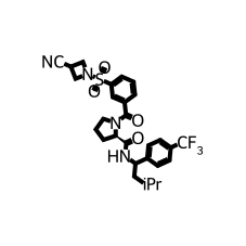 CC(C)CC(NC(=O)[C@H]1CCCN1C(=O)c1cccc(S(=O)(=O)N2CC(C#N)C2)c1)c1ccc(C(F)(F)F)cc1